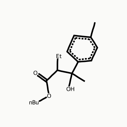 CCCCOC(=O)C(CC)C(C)(O)c1ccc(C)cc1